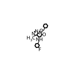 Cc1ncnc2c1c(NCc1cccc(F)c1)cc(=O)n2OCc1ccccc1